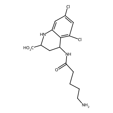 NCCCCC(=O)NC1CC(C(=O)O)Nc2cc(Cl)cc(Cl)c21